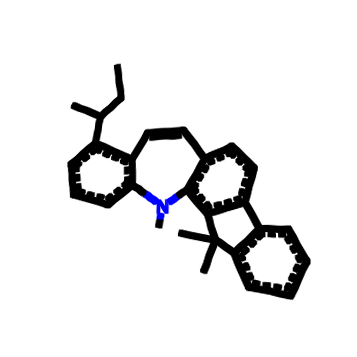 CCC(C)c1cccc2c1C=Cc1ccc3c(c1N2C)C(C)(C)c1ccccc1-3